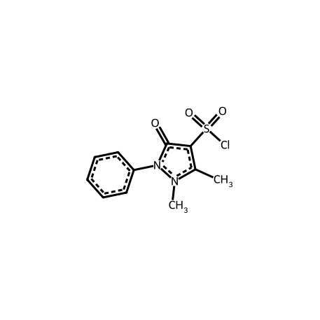 Cc1c(S(=O)(=O)Cl)c(=O)n(-c2ccccc2)n1C